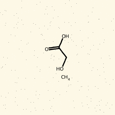 C.O=C(O)CO